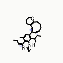 C=CNc1c(/C(N)=C\CC)c(C)cc(C2=C\C3=C(CCC/C=C\2)OCCC3)c1C(C)CC